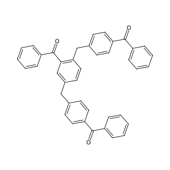 O=C(c1ccccc1)c1ccc(Cc2ccc(Cc3ccc(C(=O)c4ccccc4)cc3)c(C(=O)c3ccccc3)c2)cc1